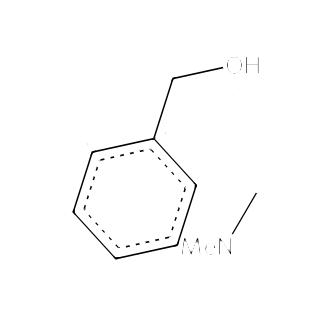 CNC.OCc1ccccc1